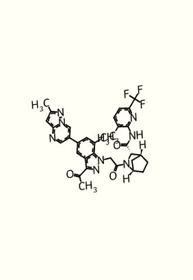 CC(=O)c1nn(CC(=O)N2[C@H]3CC[C@H](C3)[C@H]2C(=O)Nc2nc(C(F)(F)F)ccc2C)c2c(C)cc(-c3cnc4cc(C)nn4c3)cc12